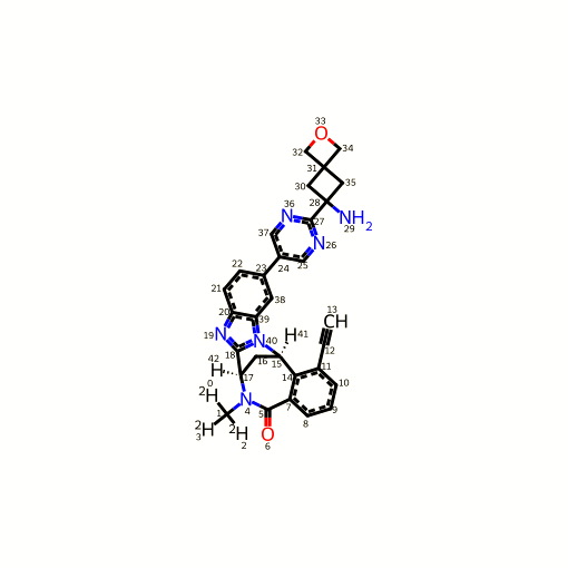 [2H]C([2H])([2H])N1C(=O)c2cccc(C#C)c2[C@H]2C[C@@H]1c1nc3ccc(-c4cnc(C5(N)CC6(COC6)C5)nc4)cc3n12